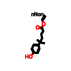 CCCCCCCCC/C=C/OC(=O)CCCC(C)(C)c1ccc(O)cc1